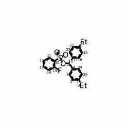 CCc1ccc([I+](OS(=O)(=O)c2ccccc2F)c2ccc(CC)cc2)cc1